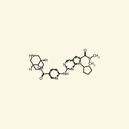 CN(C)C(=O)c1cc2cnc(Nc3ccc(C(=O)N4C[C@H]5CNC[C@@H](C4)C5O)cn3)nc2n1C1CCCC1